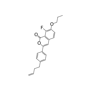 C=CCCc1ccc(-c2cc3ccc(OCCC)c(F)c3c(=O)o2)cc1